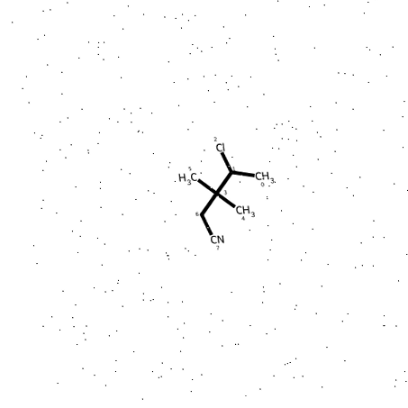 CC(Cl)C(C)(C)CC#N